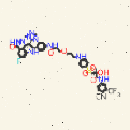 Cn1ncnc1[C@H]1c2n[nH]c(=O)c3cc(F)cc(c23)N[C@@H]1c1ccc(NC(=O)CCOCCCNc2ccc(S(=O)(=O)C[C@](C)(O)C(=O)Nc3ccc(C#N)c(C(F)(F)F)c3)cc2)cc1